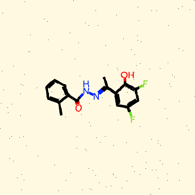 C/C(=N\NC(=O)c1ccccc1C)c1cc(F)cc(F)c1O